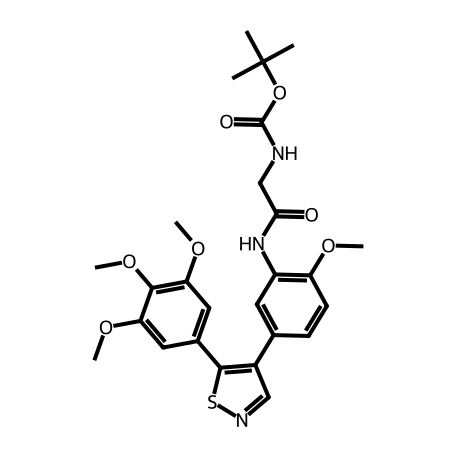 COc1ccc(-c2cnsc2-c2cc(OC)c(OC)c(OC)c2)cc1NC(=O)CNC(=O)OC(C)(C)C